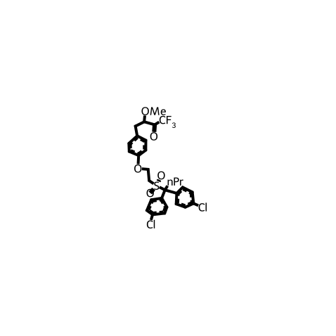 CCCC(c1ccc(Cl)cc1)(c1ccc(Cl)cc1)S(=O)(=O)CCOc1ccc(CC(OC)C(=O)C(F)(F)F)cc1